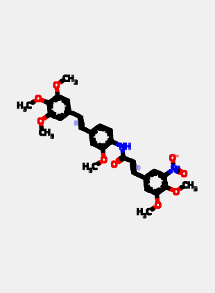 COc1cc(/C=C/c2cc(OC)c(OC)c(OC)c2)ccc1NC(=O)/C=C/c1cc(OC)c(OC)c([N+](=O)[O-])c1